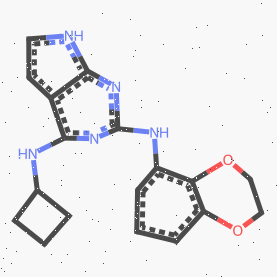 [c]1ccc(Nc2nc(NC3CCC3)c3cc[nH]c3n2)c2c1OCCO2